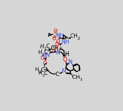 C=C[C@@H]1C[C@]1(NC(=O)[C@@H]1C[C@@H]2CN1C(=O)[C@H](C(C)(C)C)NC(=O)OCC(C)(C)CCCCn1cc(C)c3c4ccccc4nc(c31)O2)C(=O)NS(=O)(=O)C1CC1